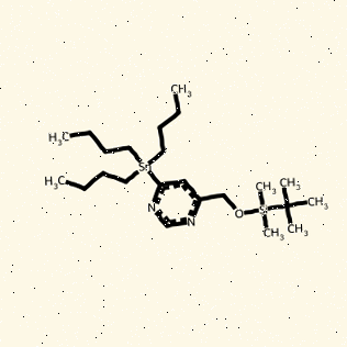 CCC[CH2][Sn]([CH2]CCC)([CH2]CCC)[c]1cc(CO[Si](C)(C)C(C)(C)C)ncn1